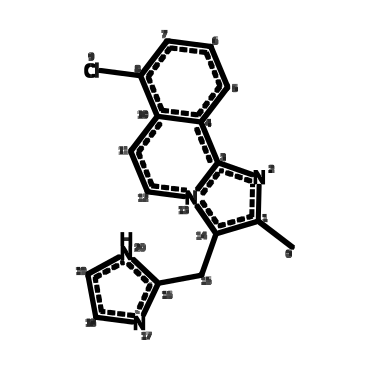 Cc1nc2c3cccc(Cl)c3ccn2c1Cc1ncc[nH]1